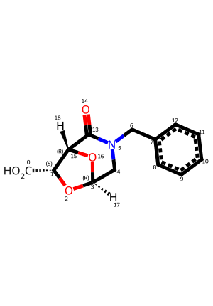 O=C(O)[C@H]1O[C@@H]2CN(Cc3ccccc3)C(=O)[C@@H]1O2